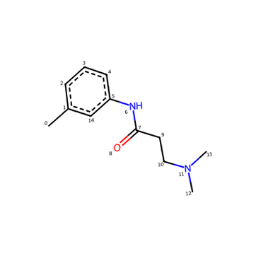 Cc1cccc(NC(=O)CCN(C)C)c1